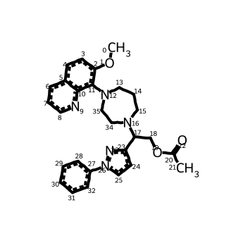 COc1ccc2cccnc2c1N1CCCN(C(COC(C)=O)c2ccn(-c3ccccc3)n2)CC1